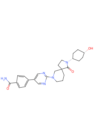 NC(=O)c1ccc(-c2cnc(N3CCCC4(CCN([C@H]5CC[C@@H](O)CC5)C4=O)C3)nc2)cc1